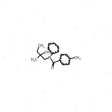 CCC(C)(C)CN(C(=O)c1ccc(C)cc1)c1ccccc1